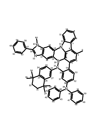 Cc1cc2c3c4c1c1ccccc1n4-c1cc4c(cc1B3N(c1ccc3c(c1)C(C)(C)CCC3(C)C)c1cc(N(c3ccccc3)c3ccccc3)ccc1-2)nc(-c1ccccc1)n4C